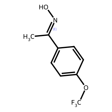 C/C(=N\O)c1ccc(OC(F)(F)F)cc1